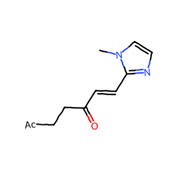 CC(=O)CCC(=O)/C=C/c1nccn1C